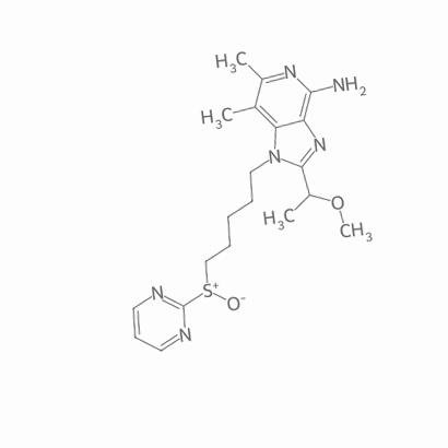 COC(C)c1nc2c(N)nc(C)c(C)c2n1CCCCC[S+]([O-])c1ncccn1